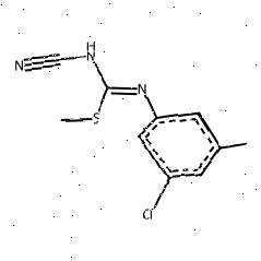 CS/C(=N\c1cc(C)cc(Cl)c1)NC#N